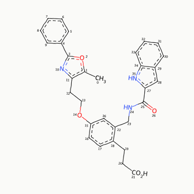 Cc1oc(-c2ccccc2)nc1CCOc1ccc(CCC(=O)O)c(CNC(=O)c2cc3ccccc3[nH]2)c1